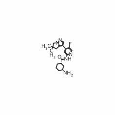 CC1(C)Cc2c(-c3cc(NC(=O)[C@H]4CCC[C@H](N)C4)ncc3F)cnn2C1